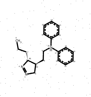 CCC[C@H]1N=NC[C@@H]1CC[SiH](c1ccccc1)c1ccccc1